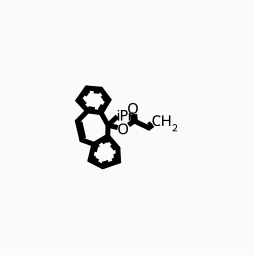 C=CC(=O)OC1(C(C)C)c2ccccc2C=Cc2ccccc21